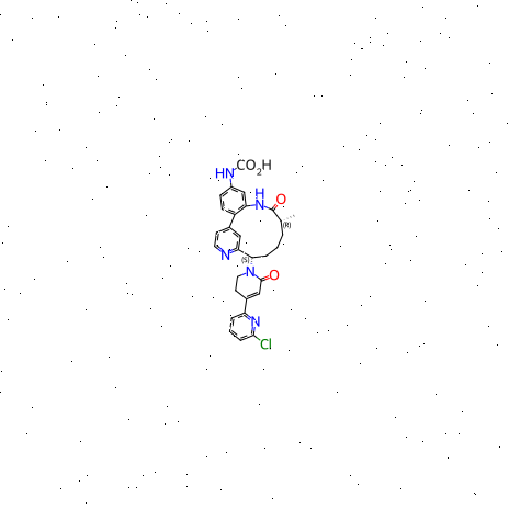 C[C@@H]1CCC[C@H](N2CCC(c3cccc(Cl)n3)=CC2=O)c2cc(ccn2)-c2ccc(NC(=O)O)cc2NC1=O